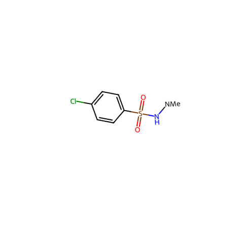 CNNS(=O)(=O)c1ccc(Cl)cc1